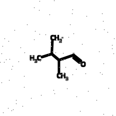 [CH2]C(C)C(C)[C]=O